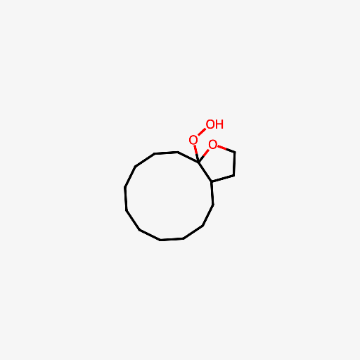 OOC12CCCCCCCCCCC1CCO2